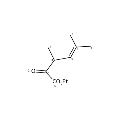 CCOC(=O)C(=O)C(C)C=C(C)C